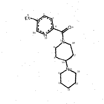 CCc1ccc(C(=O)N2CCC(N3CCCCC3)CC2)nc1